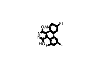 CCc1ccc(-c2c(OC)nnc(O)c2-c2c(F)cc(F)cc2F)cc1